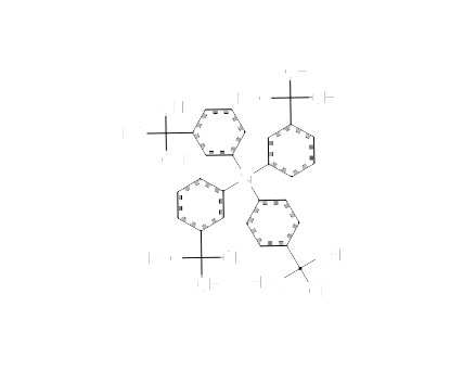 CC(C)(C)c1ccc([Si](c2cccc(C(C)(C)C)c2)(c2cccc(C(C)(C)C)c2)c2cccc(C(C)(C)C)c2)cc1